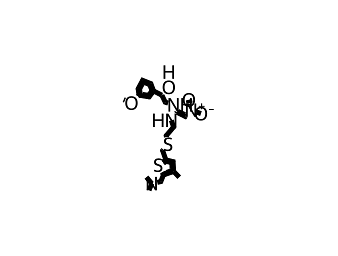 COc1cccc(C(O)CN/C(=C\[N+](=O)[O-])NCCSCc2cc(C)c(CN(C)C)s2)c1